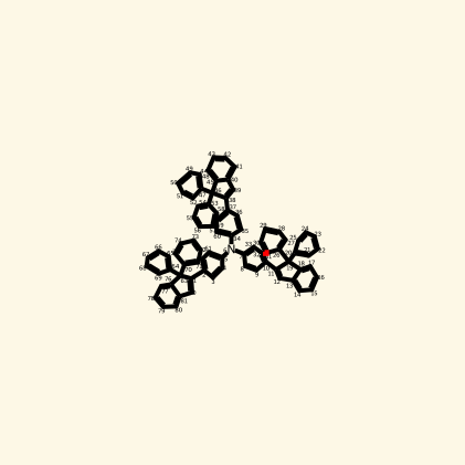 C1=C(c2ccc(N(c3ccc(C4=Cc5ccccc5C4(c4ccccc4)c4ccccc4)cc3)c3ccc(C4=Cc5ccccc5C4(c4ccccc4)c4ccccc4)cc3)cc2)C(c2ccccc2)(c2ccccc2)c2ccccc21